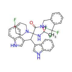 CC(=O)NC(C(=O)NCc1ccccc1C(F)(F)F)(C(c1c[nH]c2ccccc12)c1c[nH]c2ccc(F)cc12)N1CC=CCC1